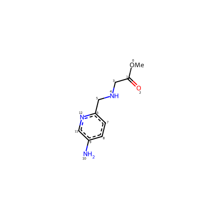 COC(=O)CNCc1ccc(N)cn1